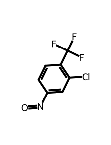 O=Nc1ccc(C(F)(F)F)c(Cl)c1